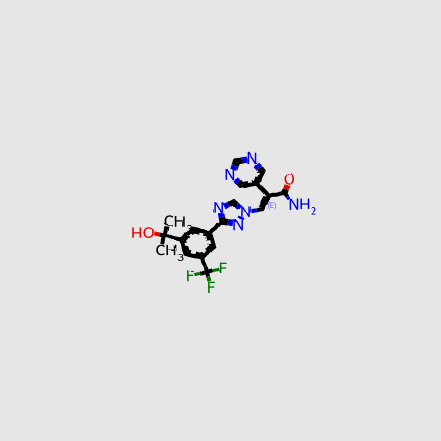 CC(C)(O)c1cc(-c2ncn(/C=C(/C(N)=O)c3cncnc3)n2)cc(C(F)(F)F)c1